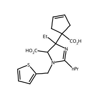 CCCC1=NC(CC)(C2(C(=O)O)CC=CC2)C(C(=O)O)N1Cc1cccs1